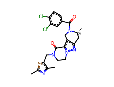 Cc1nc(C)c(CN2CCn3nc4c(c3C2=O)CN(C(=O)c2ccc(Cl)c(Cl)c2)[C@H](C)C4)s1